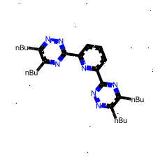 CCCCc1nnc(-c2cccc(-c3nnc(CCCC)c(CCCC)n3)n2)nc1CCCC